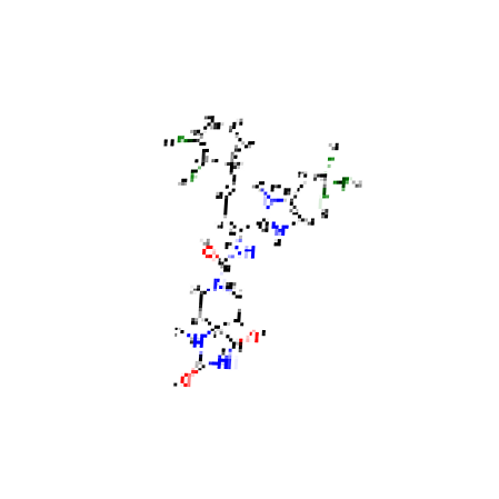 CN1C(=O)NC(=O)C12CCN(C(=O)N[C@@H]1CC[C@@H](c3cccc(F)c3F)Cn3c(CC(F)(F)F)cnc31)CC2